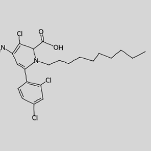 CCCCCCCCCCN1C(c2ccc(Cl)cc2Cl)=CC(N)=C(Cl)C1C(=O)O